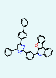 c1ccc(-c2ccc(-c3cc(-c4ccccc4)nc(-c4cccc(-c5nc6ccccc6c6c5oc5ccccc56)c4)n3)cc2)cc1